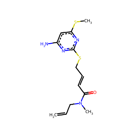 C=CCN(C)C(=O)C=CCSc1nc(N)cc(SC)n1